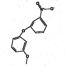 COc1cccc(Oc2cccc([N+](=O)[O-])c2)c1